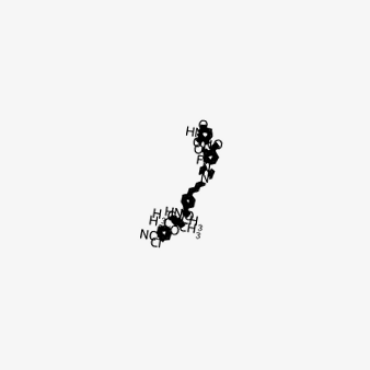 CC1(C)C(NC(=O)c2ccc(CCCCN3CCN(c4ccc5c(c4F)C(=O)N(C4CCC(=O)NC4=O)C5=O)CC3)cc2)C(C)(C)C1Oc1ccc(C#N)c(Cl)c1